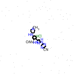 COc1cc(NC2CCN(C)CC2)ccc1-c1cc(Nc2cnc(C#N)cn2)n[nH]1.Cl